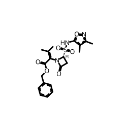 CC(C)=C(C(=O)OCc1ccccc1)N1C(=O)C[C@H]1S(=O)(=O)Nc1onc(C)c1C